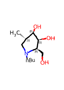 CCCCN1C[C@H](C)[C@@H](O)[C@@H](O)[C@H]1CO